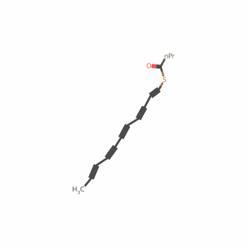 CC#CC#CC#CC#CC#CSC(=O)CCC